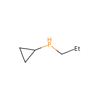 CCCPC1CC1